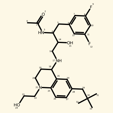 CC(=O)NC(Cc1cc(F)cc(F)c1)C(O)CNC1CCN(CCO)c2ccc(CC(C)(C)C)cc21